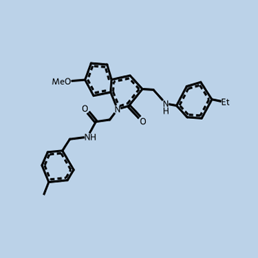 CCc1ccc(NCc2cc3ccc(OC)cc3n(CC(=O)NCc3ccc(C)cc3)c2=O)cc1